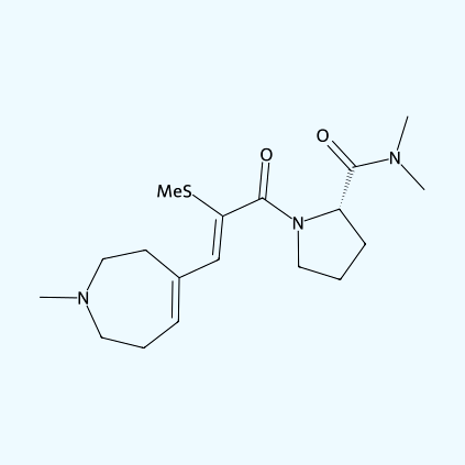 CS/C(=C\C1=CCCN(C)CC1)C(=O)N1CCC[C@H]1C(=O)N(C)C